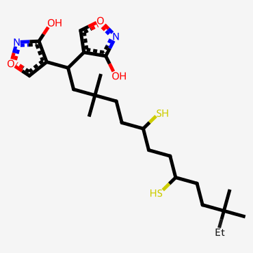 CCC(C)(C)CCC(S)CCC(S)CCC(C)(C)CC(c1conc1O)c1conc1O